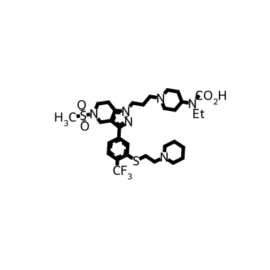 CCN(C(=O)O)C1CCN(CCCn2nc(-c3ccc(C(F)(F)F)c(SCCN4CCCCC4)c3)c3c2CCN(S(C)(=O)=O)C3)CC1